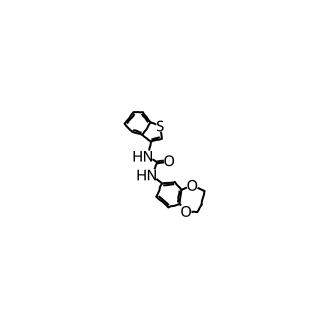 O=C(Nc1ccc2c(c1)OCCCO2)Nc1csc2ccccc12